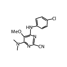 COc1c(Nc2ccc(Cl)cc2)nc(C#N)nc1N(C)C